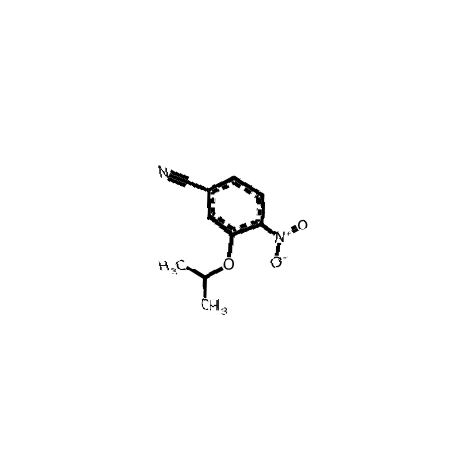 CC(C)Oc1cc(C#N)ccc1[N+](=O)[O-]